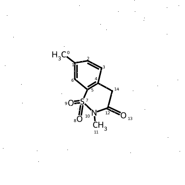 Cc1ccc2c(c1)S(=O)(=O)N(C)C(=O)C2